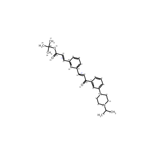 CC(C)N1CCN(c2cccc(C(=O)/C=C/c3cccc(/C=C/C(=O)OC(C)(C)C)n3)c2)CC1